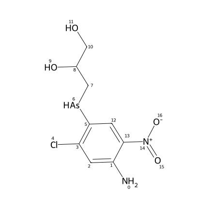 Nc1cc(Cl)c([AsH]CC(O)CO)cc1[N+](=O)[O-]